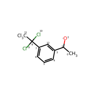 CC([O])c1cccc(C(Cl)(Cl)C(Cl)(Cl)Cl)c1